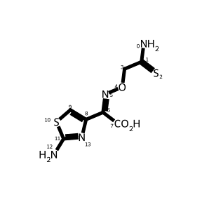 NC(=S)CON=C(C(=O)O)c1csc(N)n1